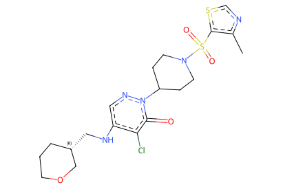 Cc1ncsc1S(=O)(=O)N1CCC(n2ncc(NC[C@H]3CCCOC3)c(Cl)c2=O)CC1